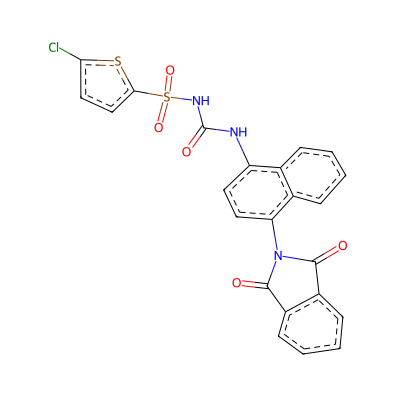 O=C(Nc1ccc(N2C(=O)c3ccccc3C2=O)c2ccccc12)NS(=O)(=O)c1ccc(Cl)s1